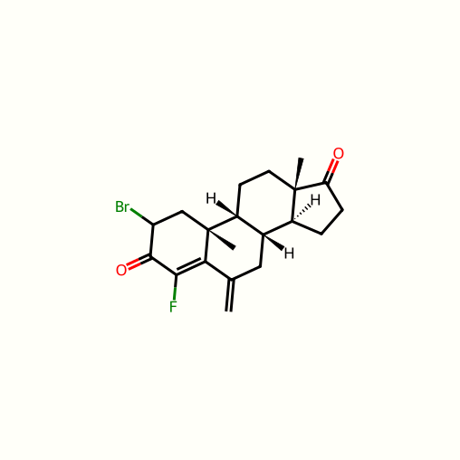 C=C1C[C@@H]2[C@@H](CC[C@]3(C)C(=O)CC[C@@H]23)[C@@]2(C)CC(Br)C(=O)C(F)=C12